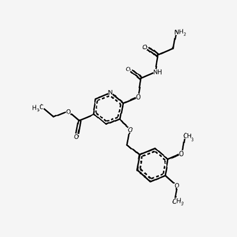 CCOC(=O)c1cnc(OC(=O)NC(=O)CN)c(OCc2ccc(OC)c(OC)c2)c1